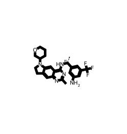 Cc1nc(N[C@H](C)c2cc(N)cc(C(F)(F)F)c2)c2cc3c(cc2n1)CCN3C1CCCOC1